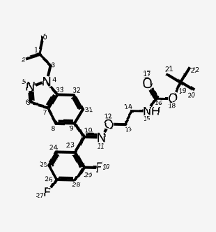 CC(C)Cn1ncc2cc(/C(=N\OCCNC(=O)OC(C)(C)C)c3ccc(F)cc3F)ccc21